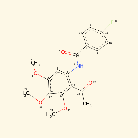 COc1cc(NC(=O)c2ccc(F)cc2)c(C(C)=O)c(OC)c1OC